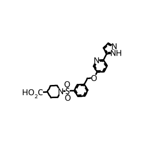 O=C(O)C1CCN(S(=O)(=O)c2cccc(COc3ccc(-c4ccn[nH]4)nc3)c2)CC1